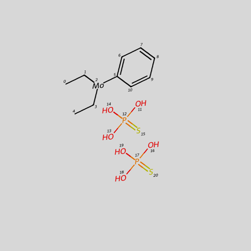 C[CH2][Mo]([CH2]C)[c]1ccccc1.OP(O)(O)=S.OP(O)(O)=S